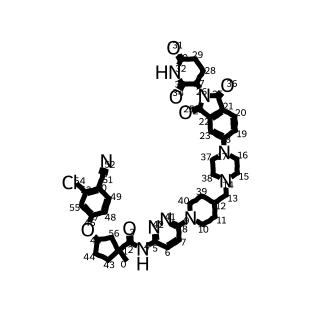 CC1(C(=O)Nc2ccc(N3CCC(CN4CCN(c5ccc6c(c5)C(=O)N(C5CCC(=O)NC5=O)C6=O)CC4)CC3)nn2)CCC(Oc2ccc(C#N)c(Cl)c2)C1